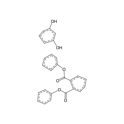 O=C(Oc1ccccc1)c1ccccc1C(=O)Oc1ccccc1.Oc1cccc(O)c1